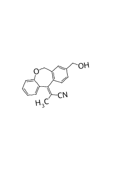 C/C(C#N)=C1/c2ccc(CO)cc2COc2ccccc21